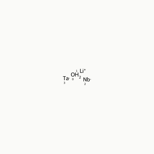 O.[Li+].[Nb].[Ta]